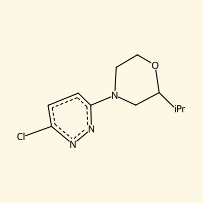 CC(C)C1CN(c2ccc(Cl)nn2)CCO1